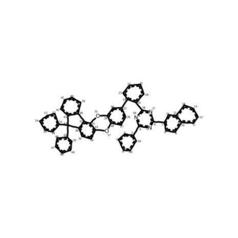 c1ccc(-c2nc(-c3ccc4ccccc4c3)nc(-c3ccccc3-c3ccc4c(c3)Oc3c(ccc5c3-c3ccccc3C5(c3ccccc3)c3ccccc3)O4)n2)cc1